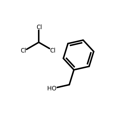 ClC(Cl)Cl.OCc1ccccc1